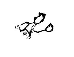 O=C(NCc1ccccc1)[C@H]1CNCC1c1ccccc1